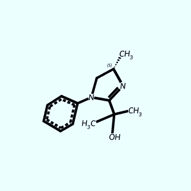 C[C@H]1CN(c2ccccc2)C(C(C)(C)O)=N1